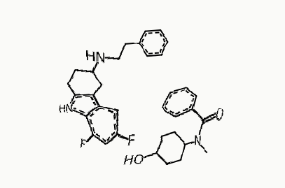 CN(C(=O)c1ccccc1)C1CCC(O)CC1.Fc1cc(F)c2[nH]c3c(c2c1)CC(NCCc1ccccc1)CC3